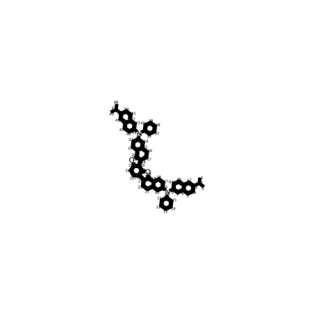 CC(C)c1ccc2cc(N(c3ccccc3)c3ccc4c(ccc5c6ccc7oc8c9ccc(N(c%10ccccc%10)c%10ccc%11cc(C(C)C)ccc%11c%10)cc9ccc8c7c6oc45)c3)ccc2c1